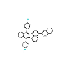 Fc1ccc(-c2c3c(c(-c4ccc(F)cc4)c4ccccc24)-c2ccc(-c4ccc5c(c4)CCC=C5)c4cccc-3c24)cc1